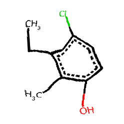 CCc1c(Cl)ccc(O)c1C